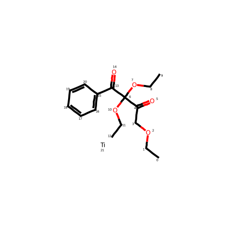 CCOCC(=O)C(OCC)(OCC)C(=O)c1ccccc1.[Ti]